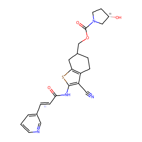 N#Cc1c(NC(=O)/C=C/c2cccnc2)sc2c1CCC(COC(=O)N1CC[C@H](O)C1)C2